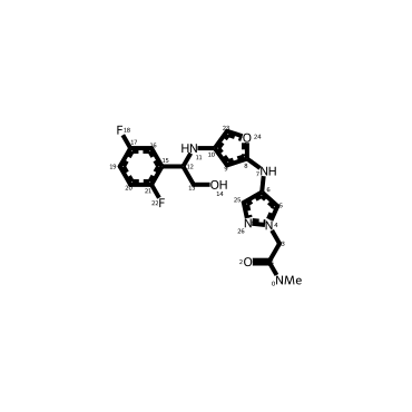 CNC(=O)Cn1cc(Nc2cc(NC(CO)c3cc(F)ccc3F)co2)cn1